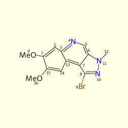 COc1cc2ncc3c(c(Br)nn3C)c2cc1OC